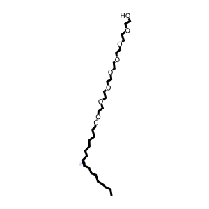 CCCCCCCC/C=C\CCCCCCCCOCCOCCOCCOCCOCCOCCOCCO